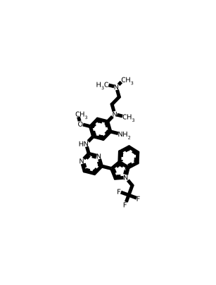 COc1cc(N(C)CCN(C)C)c(N)cc1Nc1nccc(-c2cn(CC(F)(F)F)c3ccccc23)n1